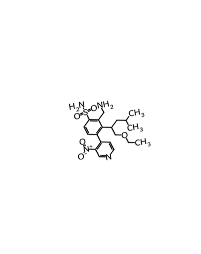 CCOCC(CC(C)C)c1c(-c2ccncc2[N+](=O)[O-])ccc(S(N)(=O)=O)c1CN